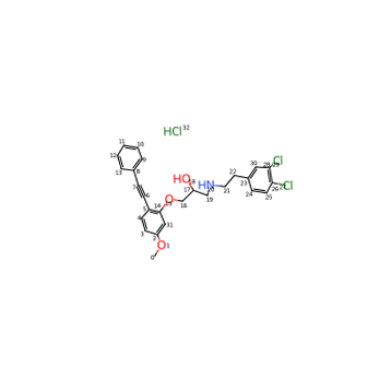 COc1ccc(C#Cc2ccccc2)c(OCC(O)CNCCc2ccc(Cl)c(Cl)c2)c1.Cl